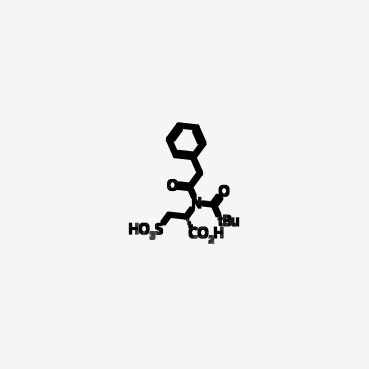 CC(C)(C)C(=O)N(C(=O)Cc1ccccc1)[C@@H](CS(=O)(=O)O)C(=O)O